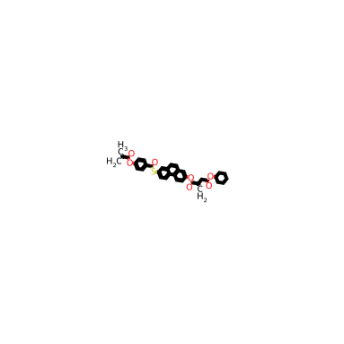 C=C(C)C(=O)Oc1ccc(C(=O)Sc2ccc3c(ccc4cc(OC(=O)C(=C)CC(=O)OC5CCCCC5)ccc43)c2)cc1